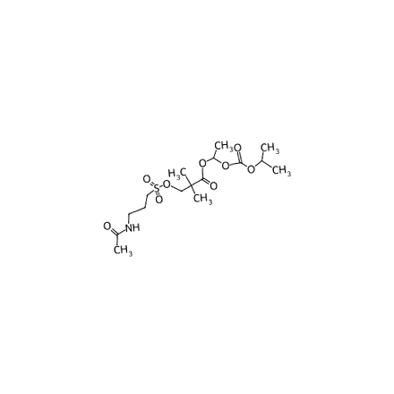 CC(=O)NCCCS(=O)(=O)OCC(C)(C)C(=O)OC(C)OC(=O)OC(C)C